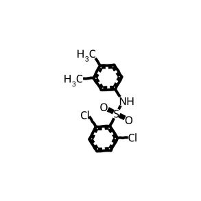 Cc1ccc(NS(=O)(=O)c2c(Cl)cccc2Cl)cc1C